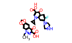 CCn1nc(C(=O)O)c(=O)c2cc3c(cc21)OCO3.O=C(O)c1cn(C2CC2)c2cc(N3CCNCC3)c(F)cc2c1=O